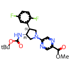 COC(=O)c1cnc(N2C[C@H](NC(=O)OC(C)(C)C)[C@@H](c3cc(F)ccc3F)C2)cn1